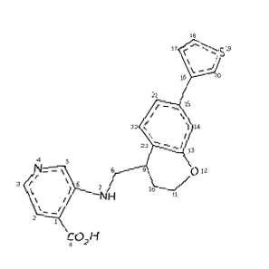 O=C(O)c1ccncc1NCC1CCOc2cc(-c3ccsc3)ccc21